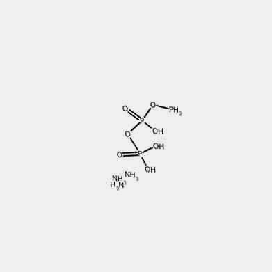 N.N.N.O=P(O)(O)OP(=O)(O)OP